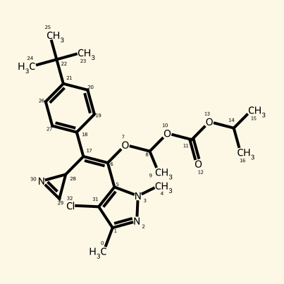 Cc1nn(C)c(/C(OC(C)OC(=O)OC(C)C)=C(/c2ccc(C(C)(C)C)cc2)C2C=N2)c1Cl